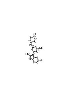 CCc1nc2ccc(F)cc2n1-c1cc(N)nc(Nc2ccc(Cl)cc2)n1